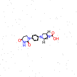 O=C1CCN(c2ccc(N3C[C@H]4C[C@@H]3CN4C(=O)O)cc2)C(=O)N1